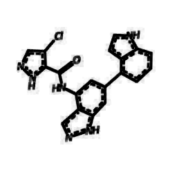 O=C(Nc1cc(-c2cccc3[nH]ccc23)cc2[nH]ncc12)c1[nH]ncc1Cl